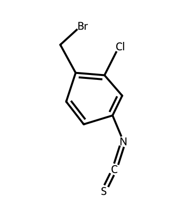 S=C=Nc1ccc(CBr)c(Cl)c1